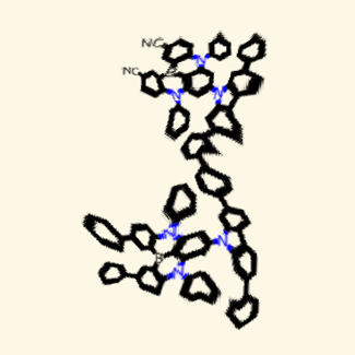 N#Cc1ccc2c(c1)B1c3cc(C#N)ccc3N(c3ccccc3)c3cc(-n4c5cc(-c6ccccc6)ccc5c5ccc(-c6cccc(-c7ccc(-c8ccc9c%10ccc(-c%11ccccc%11)cc%10n(-c%10cc%11c%12c(c%10)N(c%10ccccc%10)c%10ccc(-c%13ccccc%13)cc%10B%12c%10cc(-c%12ccccc%12)ccc%10N%11c%10ccccc%10)c9c8)cc7)c6)cc54)cc(c31)N2c1ccccc1